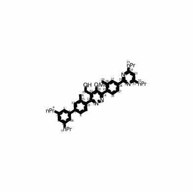 CCCc1cc(CCC)cc(-c2ccc(-c3nnc(-c4ccc(-c5nc(CCC)cc(CCC)n5)cc4C)c(OC)c3CO)c(C)c2)c1